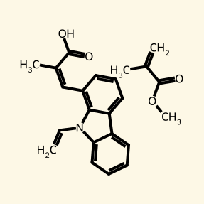 C=C(C)C(=O)OC.C=Cn1c2ccccc2c2cccc(C=C(C)C(=O)O)c21